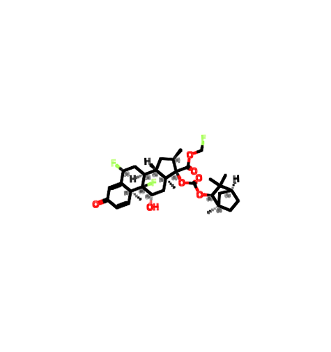 C[C@@H]1C[C@H]2[C@@H]3C[C@H](F)C4=CC(=O)C=C[C@]4(C)[C@@]3(F)[C@@H](O)C[C@]2(C)[C@@]1(OC(=O)O[C@H]1C(C)(C)[C@H]2CC[C@]1(C)C2)C(=O)OCF